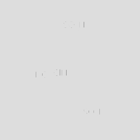 Cl.Cl.O=S(=O)(O)c1ccc(-c2ccc(S(=O)(=O)O)cc2)cc1